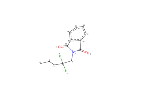 CCCC(F)(F)CN1C(=O)c2ccccc2C1=O